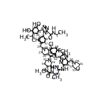 CCNC(=O)c1nnc(-c2cc(C(C)C)c(O)cc2O)n1-c1ccc(CN2CCC(C(=O)N3CCC(N(C)C(=O)N/C(C)=C\C(=N)Nc4cc(CN5CCOCC5)c5nc(C)c(Cc6ccc(Cl)cc6F)n5n4)CC3)CC2)cc1